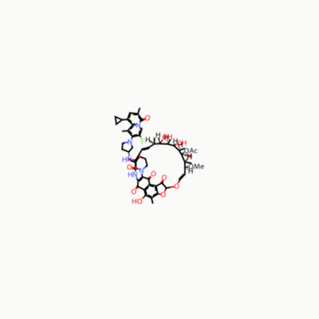 CO[C@H]1/C=C/O[C@@]2(C)Oc3c(C)c(O)c4c(c3C2=O)C(=O)C(N2CCCC(N[C@H]3CCN(c5c(F)cn6c(=O)c(C)cc(C7CC7)c6c5C)C3)C2)=C(NC(=O)/C(C)=C\C=C\[C@H](C)[C@H](O)[C@@H](C)[C@@H](O)[C@@H](C)[C@H](OC(C)=O)[C@@H]1C)C4=O